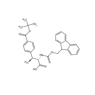 C[C@@H](c1ccc(C(=O)OC(C)(C)C)cc1)[C@H](NC(=O)OCC1c2ccccc2-c2ccccc21)C(=O)O